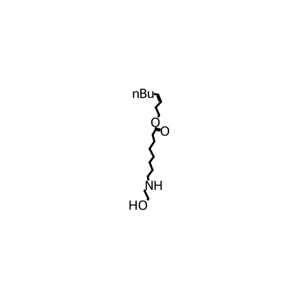 CCCC/C=C\CCOC(=O)CCCCCCCNCCO